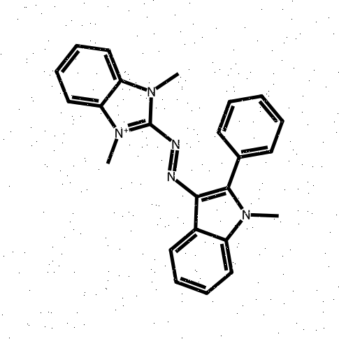 Cn1c(-c2ccccc2)c(/N=N/c2n(C)c3ccccc3[n+]2C)c2ccccc21